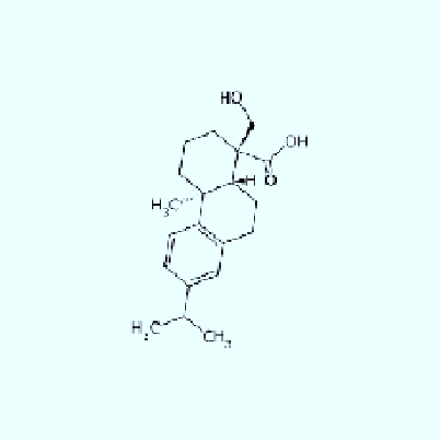 CC(C)c1ccc2c(c1)CC[C@H]1[C@@](CO)(C(=O)O)CCC[C@]21C